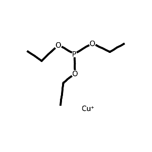 CCOP(OCC)OCC.[Cu+]